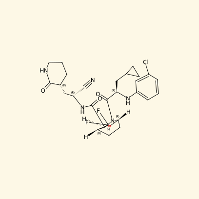 N#C[C@@H](C[C@H]1CCCNC1=O)NC(=O)[C@@H]1[C@H]2CC[C@H](CC2(F)F)N1C(=O)[C@@H](CC1CC1)Nc1cccc(Cl)c1